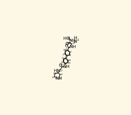 NC[C@H](NC(=O)c1ccc(-c2ccc(NC(=O)CNC3CCNCC3)cc2)cc1)C(=O)NO